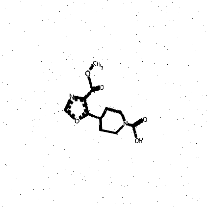 COC(=O)c1ncoc1C1CCN(C(=O)O)CC1